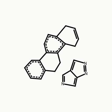 C1=CCc2c(ccc3c2CCc2ccccc2-3)C1.C1=NC=C2N=NC=C12